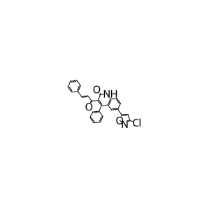 O=C(C=Cc1ccccc1)c1c(-c2ccccc2)c2cc(-c3cc(Cl)no3)ccc2[nH]c1=O